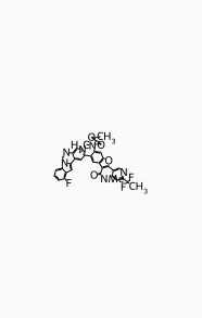 CNC(=O)c1c(-c2ccc(C(C)(F)F)nc2)oc2cc(N(C)S(C)(=O)=O)c(-c3cc4c(cn3)ncn3c5cccc(F)c5cc43)cc12